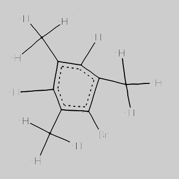 [2H]c1c(C([2H])([2H])[2H])c([2H])c(C([2H])([2H])[2H])c(Br)c1C([2H])([2H])[2H]